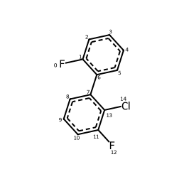 Fc1ccccc1-c1cccc(F)c1Cl